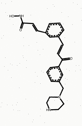 O=C(/C=C/c1cccc(/C=C/C(=O)c2cccc(CN3CCNCC3)c2)c1)NO